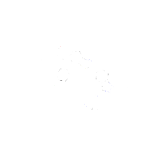 Cc1cc2nc(-c3ccc4c(c3)c(N3CCN5CCOC[C@@H]5C3)nn4C)sc2c(-c2ccc(Cl)cc2)c1[C@H](OC(C)(C)C)C(=O)O